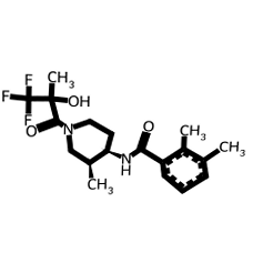 Cc1cccc(C(=O)N[C@@H]2CCN(C(=O)C(C)(O)C(F)(F)F)C[C@@H]2C)c1C